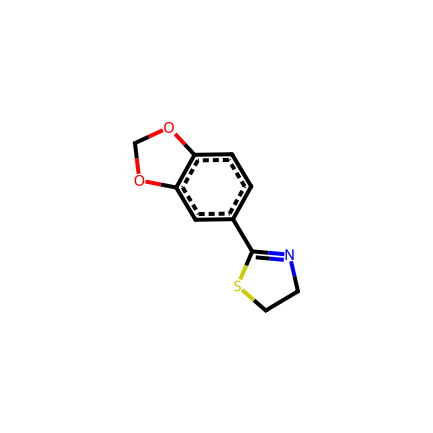 c1cc2c(cc1C1=NCCS1)OCO2